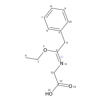 CCO/C(Cc1ccccc1)=N\CC(=O)O